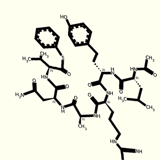 CC(=O)N[C@H](CC(C)C)C(=O)N[C@@H](CCc1ccc(O)cc1)C(=O)N[C@@H](CCCNC(=N)N)C(=O)N[C@@H](C)C(=O)N[C@@H](CC(N)=O)C(=O)N[C@H](C(=O)Sc1ccccc1)C(C)C